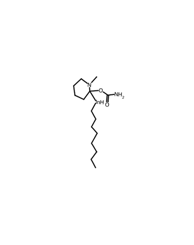 CCCCCCC[CH2][InH][C]1(OC(N)=O)CCCCN1C